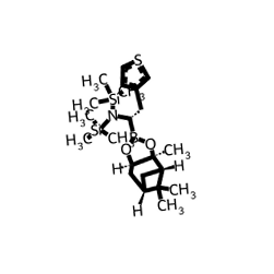 CC1(C)[C@@H]2C[C@H]3OB([C@@H](Cc4ccsc4)N([Si](C)(C)C)[Si](C)(C)C)O[C@@]3(C)[C@H]1C2